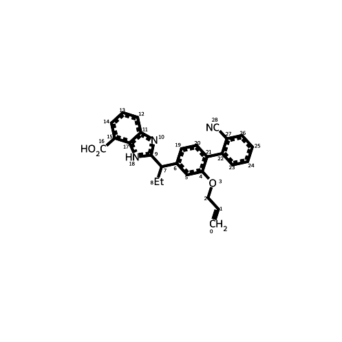 C=CCOc1cc(C(CC)c2nc3cccc(C(=O)O)c3[nH]2)ccc1-c1ccccc1C#N